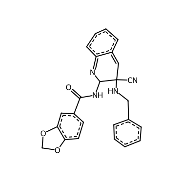 N#CC1(NCc2ccccc2)C=c2ccccc2=NC1NC(=O)c1ccc2c(c1)OCO2